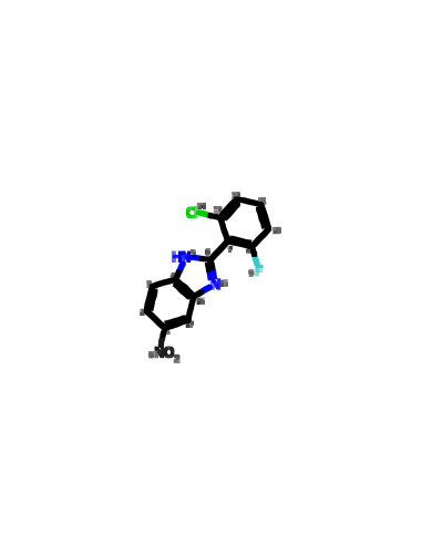 O=[N+]([O-])c1ccc2[nH]c(-c3c(F)cccc3Cl)nc2c1